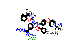 CC(=N)N1CCC(Oc2ccc(N(Cc3nc4cc(C(=N)N)ccc4n3CC(=O)N[C@@H](C)c3ccccc3)C(=O)c3ccc(C(=O)O)cc3)cc2)CC1.Cl.Cl